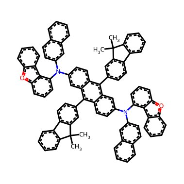 CC1(C)c2ccccc2-c2ccc(-c3c4ccc(N(c5ccc6ccccc6c5)c5cccc6oc7ccccc7c56)cc4c(-c4ccc5c(c4)C(C)(C)c4ccccc4-5)c4ccc(N(c5ccc6ccccc6c5)c5cccc6oc7ccccc7c56)cc34)cc21